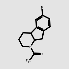 O=C(N1CCCC2c3cc(Br)ccc3CC21)C(F)(F)F